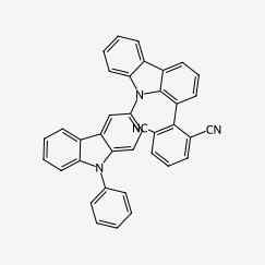 N#Cc1cccc(C#N)c1-c1cccc2c3ccccc3n(-c3ccc4c(c3)c3ccccc3n4-c3ccccc3)c12